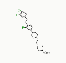 CCCCCCCC[C@H]1CC[C@H](CC[C@H]2CC[C@H](c3ccc(CCc4ccc(Cl)c(F)c4)c(F)c3)CC2)CC1